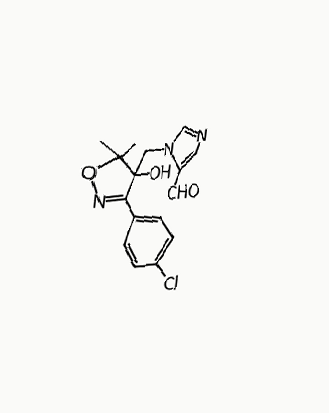 CC1(C)ON=C(c2ccc(Cl)cc2)C1(O)Cn1cncc1C=O